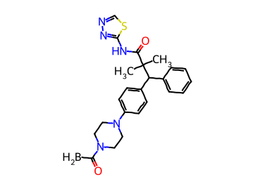 BC(=O)N1CCN(c2ccc(C(c3ccccc3)C(C)(C)C(=O)Nc3nncs3)cc2)CC1